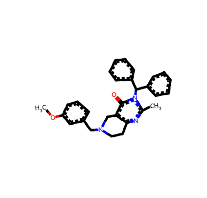 COc1cccc(CN2CCc3nc(C)n(C(c4ccccc4)c4ccccc4)c(=O)c3C2)c1